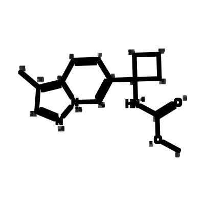 COC(=O)NC1(c2ccc3c(C)cnn3c2)CCC1